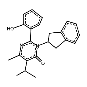 Cc1nc(-c2ccccc2O)n(C2Cc3ccccc3C2)c(=O)c1C(C)C